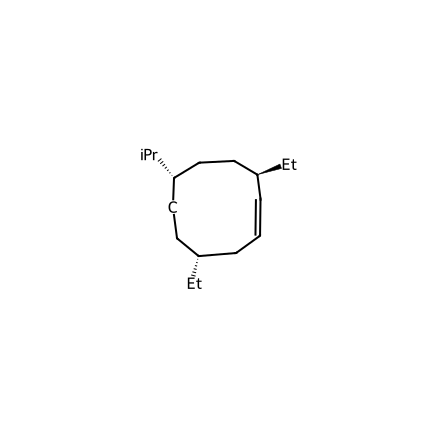 CC[C@H]1/C=C\C[C@H](CC)CC[C@H](C(C)C)CC1